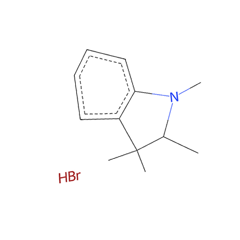 Br.CC1N(C)c2ccccc2C1(C)C